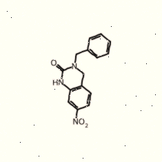 O=C1Nc2cc([N+](=O)[O-])ccc2CN1Cc1ccccc1